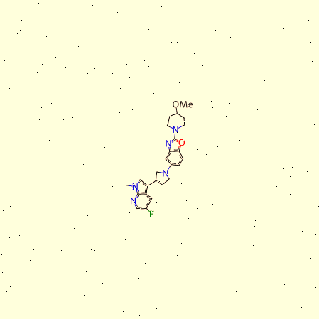 COC1CCN(c2nc3cc(N4CCC(c5cn(C)c6ncc(F)cc56)C4)ccc3o2)CC1